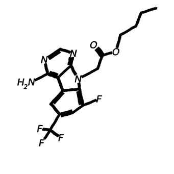 CCCCOC(=O)Cn1c2ncnc(N)c2c2cc(C(F)(F)F)cc(F)c21